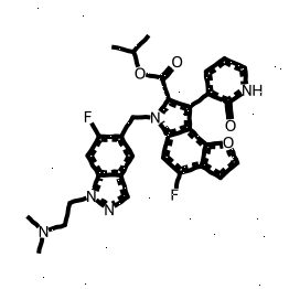 CC(C)OC(=O)c1c(-c2ccc[nH]c2=O)c2c3occc3c(F)cc2n1Cc1cc2cnn(CCN(C)C)c2cc1F